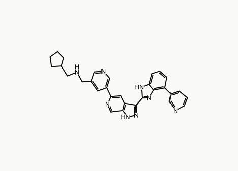 c1cncc(-c2cccc3[nH]c(-c4n[nH]c5cnc(-c6cncc(CNCC7CCCC7)c6)cc45)nc23)c1